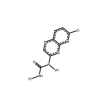 CCNC(=O)N(S)c1cnc2ccc(Cl)nc2n1